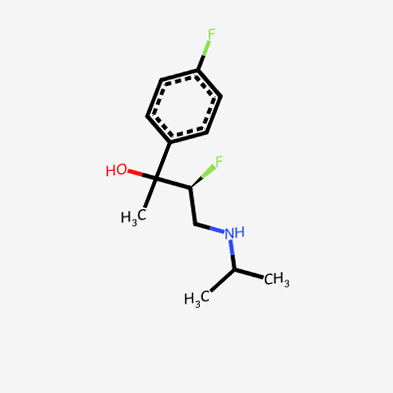 CC(C)NC[C@H](F)C(C)(O)c1ccc(F)cc1